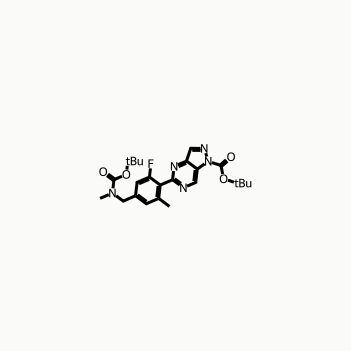 Cc1cc(CN(C)C(=O)OC(C)(C)C)cc(F)c1-c1ncc2c(cnn2C(=O)OC(C)(C)C)n1